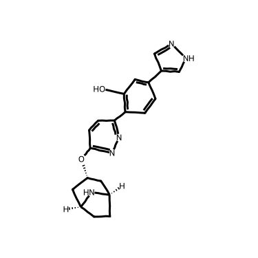 Oc1cc(-c2cn[nH]c2)ccc1-c1ccc(O[C@@H]2C[C@H]3CC[C@@H](C2)N3)nn1